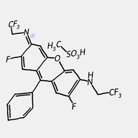 CS(=O)(=O)O.Fc1cc2c(-c3ccccc3)c3cc(F)/c(=N\CC(F)(F)F)cc-3oc2cc1NCC(F)(F)F